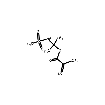 C=C(C)C(=O)OC(C)(C)NS(C)(=O)=O